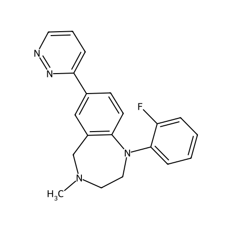 CN1CCN(c2ccccc2F)c2ccc(-c3cccnn3)cc2C1